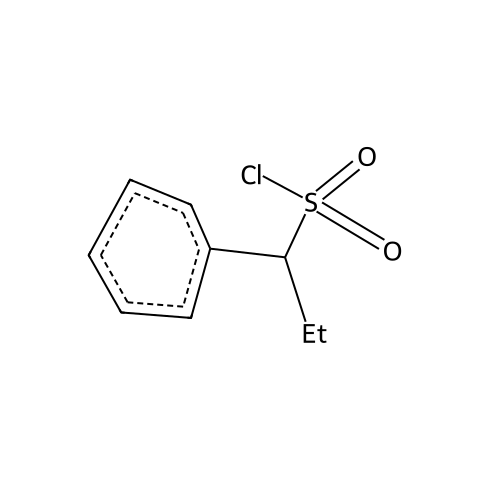 CCC(c1ccccc1)S(=O)(=O)Cl